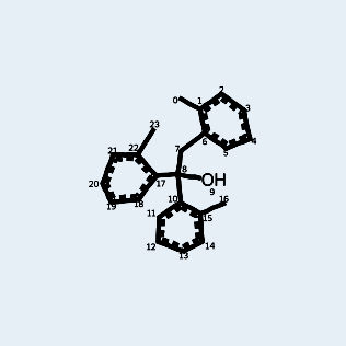 Cc1ccccc1CC(O)(c1ccccc1C)c1ccccc1C